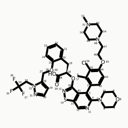 Cc1c(-c2c(N3CCOCC3)ncc3snc(O[C@H](Cc4ccccc4OCc4ccnn4CC(F)(F)F)C(=O)O)c23)ccc(OCCN2CCN(C)CC2)c1Cl